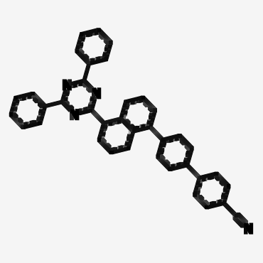 N#Cc1ccc(-c2ccc(-c3cccc4c(-c5nc(-c6ccccc6)nc(-c6ccccc6)n5)cccc34)cc2)cc1